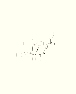 CCOC(=O)CCNC(=O)C(C)N(CC(=O)OCC)C(=O)OC(C)(C)C